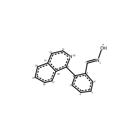 ON=Cc1ccccc1-c1nccc2ccccc12